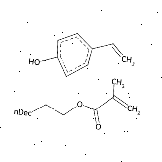 C=C(C)C(=O)OCCCCCCCCCCCC.C=Cc1ccc(O)cc1